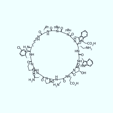 CCCC[C@H]1C(=O)N(C)[C@@H](CCCC)C(=O)N[C@@H](CC(C)C)C(=O)NCCC[C@H](N)C(=O)N[C@@H](Cc2ccc(Cl)cc2)C(=O)N2CCCC[C@H]2C(=O)N[C@@H](CC(N)=O)C(=O)N2CCC[C@H]2C(=O)N[C@@H](CN)C(=O)N[C@@H](CCC(=O)O)C(=O)N2C[C@H](O)C[C@H]2C(=O)N[C@@H](Cc2c[nH]c3ccccc23)C(=O)N[C@@H](CCN)C(=O)N[C@@H](Cc2cn(CC(=O)O)c3ccccc23)C(=O)N1C